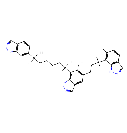 Cc1ccc2cn[nH]c2c1C(C)(C)CCc1cc2cn[nH]c2c(C(C)(C)CCCCC(C)(C)c2ccc3cn[nH]c3c2)c1C